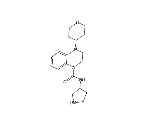 O=C(NC1CCNC1)N1CCN(C2CCOCC2)c2ccccc21